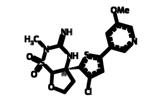 COc1cncc(-c2cc(Cl)c([C@]34CCOC3S(=O)(=O)N(C)C(=N)N4)s2)c1